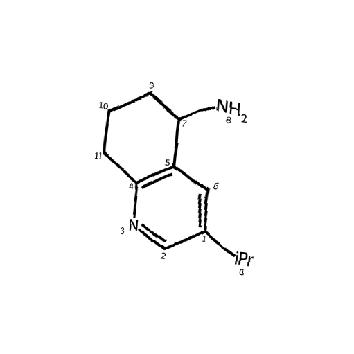 CC(C)c1cnc2c(c1)C(N)CCC2